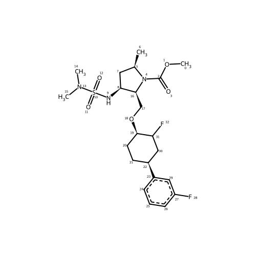 COC(=O)N1[C@H](C)C[C@H](NS(=O)(=O)N(C)C)[C@@H]1CO[C@@H]1CC[C@H](c2cccc(F)c2)CC1F